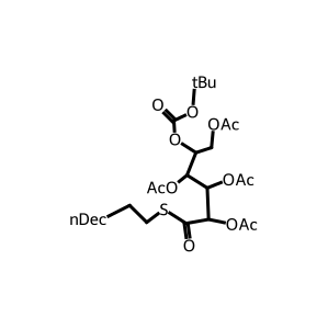 CCCCCCCCCCCCSC(=O)C(OC(C)=O)C(OC(C)=O)C(OC(C)=O)C(COC(C)=O)OC(=O)OC(C)(C)C